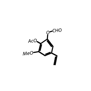 C=Cc1cc(OC)c(OC(C)=O)c(OC=O)c1